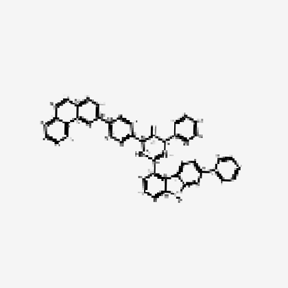 c1ccc(-c2ccc3c(c2)oc2cccc(C4=NC(c5ccccc5)NC(c5ccc(-c6ccc7ccc8ccccc8c7c6)cc5)N4)c23)cc1